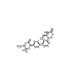 CN1CC(=O)N(c2ccc(-c3cccc(C4CCC(=O)NC4=O)c3Cl)cc2)CC12CC2